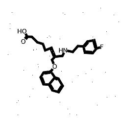 O=C(O)CCCC/C=C(/CNCCc1ccc(F)cc1)COc1cccc2ccccc12